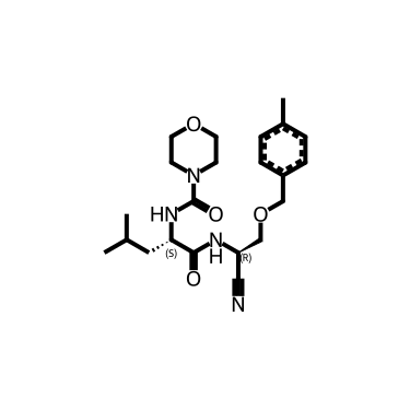 Cc1ccc(COC[C@@H](C#N)NC(=O)[C@H](CC(C)C)NC(=O)N2CCOCC2)cc1